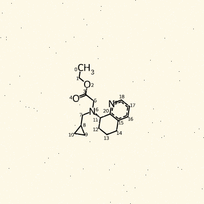 CCOC(=O)CN(CC1CC1)[C@@H]1CCCc2cccnc21